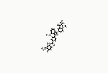 Cc1cc(NC(=O)c2ccc(-c3nc([C@@H]4CCCN(C(=O)C5(C)COC5)C4)n4ccnc(N)c34)cc2)ncc1F